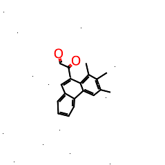 Cc1cc2c(c(C(=O)C=O)cc3ccccc32)c(C)c1C